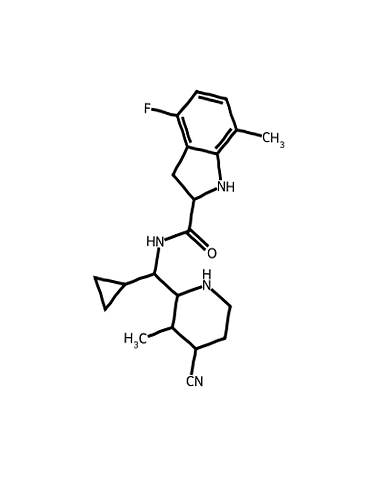 Cc1ccc(F)c2c1NC(C(=O)NC(C1CC1)C1NCCC(C#N)C1C)C2